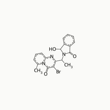 Cc1cccc2nc(C(C)N3C(=O)c4ccccc4C3O)c(Br)c(=O)n12